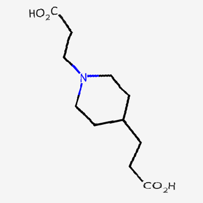 O=C(O)CCC1CCN(CCC(=O)O)CC1